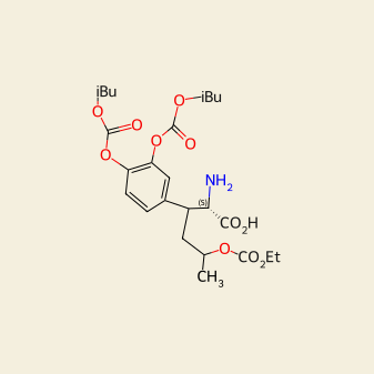 CCOC(=O)OC(C)CC(c1ccc(OC(=O)OC(C)CC)c(OC(=O)OC(C)CC)c1)[C@H](N)C(=O)O